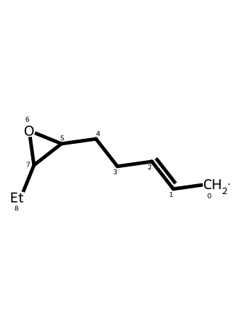 [CH2]C=CCCC1OC1CC